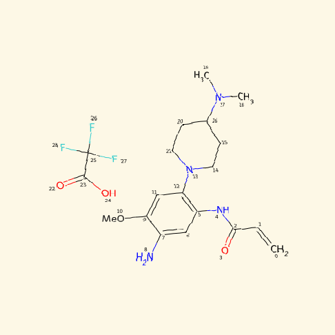 C=CC(=O)Nc1cc(N)c(OC)cc1N1CCC(N(C)C)CC1.O=C(O)C(F)(F)F